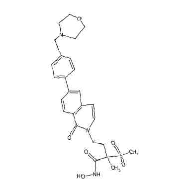 CC(CCn1ccc2cc(-c3ccc(CN4CCOCC4)cc3)ccc2c1=O)(C(=O)NO)S(C)(=O)=O